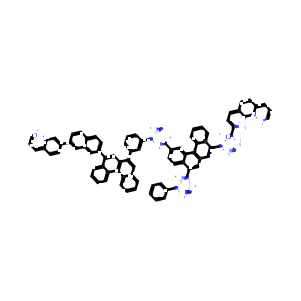 c1ccc(-c2ncnc(-c3cc4cc(-c5ncnc(-c6ccc7ccc8cccnc8c7n6)n5)c5ccccc5c4c4cc(-c5ncnc(-c6cccc(-c7cc8ccccc8c8c7cc(-c7ccc9ccc(-c%10ccc%11cccnc%11c%10)cc9c7)c7ccccc78)c6)n5)ccc34)n2)cc1